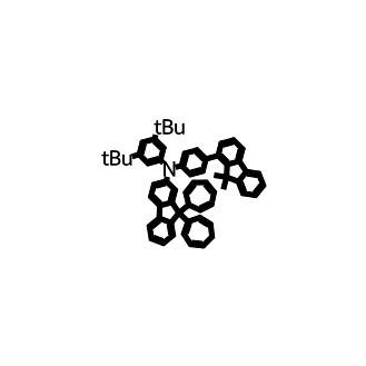 CC(C)(C)c1cc(N(c2ccc(-c3cccc4c3C(C)(C)c3ccccc3-4)cc2)c2ccc3c(c2)C(C2=CC=CCC=C2)(C2C=CC=CC=C2)c2ccccc2-3)cc(C(C)(C)C)c1